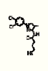 CC1CN(c2ccc(Cl)c(Cl)c2)N=C1NC(=O)CCCS